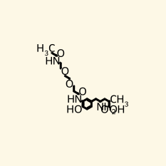 CCC(=O)NCCOCCOCCC(=O)Nc1cc(CC(N)CC(C)C(=O)O)ccc1O